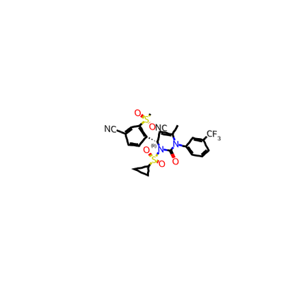 [C-]#[N+]C1=C(C)N(c2cccc(C(F)(F)F)c2)C(=O)N(S(=O)(=O)C2CC2)[C@@H]1c1ccc(C#N)cc1S(C)(=O)=O